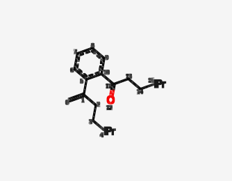 C=C(CCC(C)C)c1ccccc1C(=O)CCC(C)C